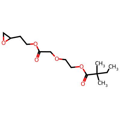 CCC(C)(C)C(=O)OCCOCC(=O)OCCC1CO1